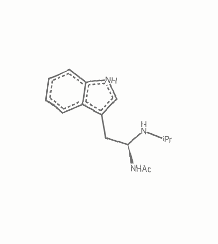 CC(=O)N[C@@H](Cc1c[nH]c2ccccc12)NC(C)C